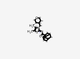 Cc1s/c(=N\C(=O)C23CC4CC(CC(C4)C2)C3)n(CC2CCOCC2)c1C